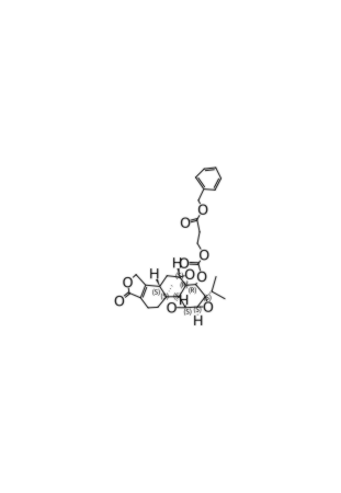 CC(C)[C@]12O[C@H]1[C@@H]1O[C@]13[C@]1(O[C@H]1C[C@H]1C4=C(CC[C@@]13C)C(=O)OC4)[C@@H]2OC(=O)OCCC(=O)OCc1ccccc1